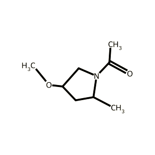 COC1CC(C)N(C(C)=O)C1